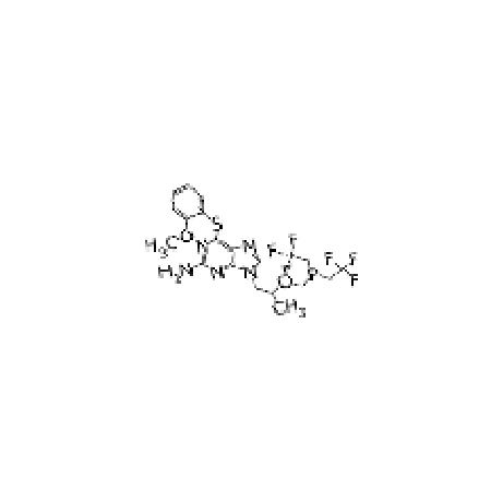 COc1ccccc1Sc1nc(N)nc2c1ncn2CC(C)OCP(CC(F)(F)F)CC(F)(F)F